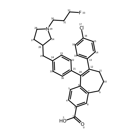 O=C(O)c1ccc2c(c1)CCCC(c1ccc(Cl)cc1)=C2c1ccc(CC2CCN(CCCF)C2)cc1